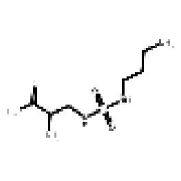 NCCCNS(=O)(=O)NCC(N)C(=O)O